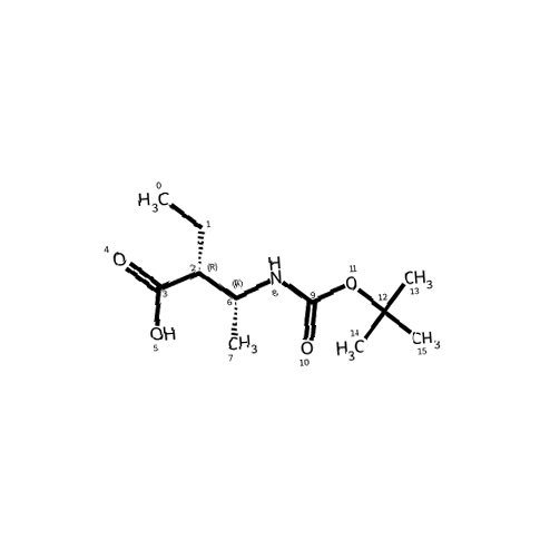 CC[C@@H](C(=O)O)[C@@H](C)NC(=O)OC(C)(C)C